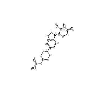 O=C(O)CN1CCC(c2ccc3c(c2)CCN3C2CCC(=O)NC2=O)CC1